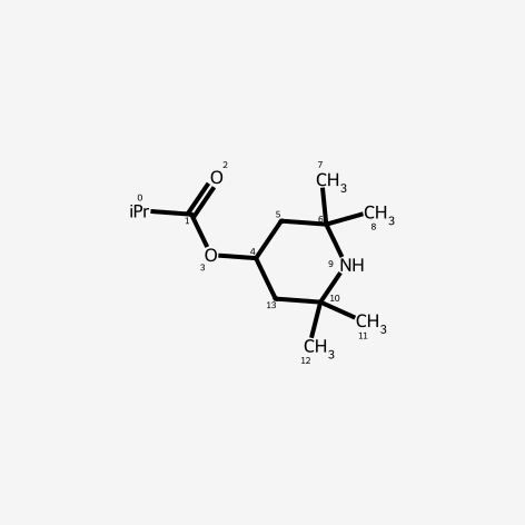 CC(C)C(=O)OC1CC(C)(C)NC(C)(C)C1